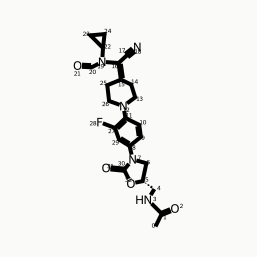 CC(=O)NC[C@H]1CN(c2ccc(N3CCC(=C(C#N)N(C=O)C4CC4)CC3)c(F)c2)C(=O)O1